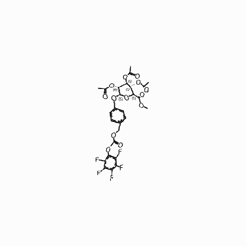 COC(=O)[C@H]1O[C@@H](Oc2ccc(COC(=O)Oc3c(F)c(F)c(F)c(F)c3F)cc2)[C@H](OC(C)=O)[C@@H](OC(C)=O)[C@@H]1OC(C)=O